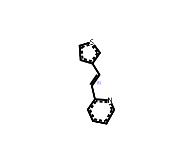 C(=C\c1ccccn1)/c1ccsc1